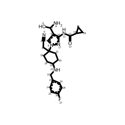 N#CCC1(n2cc(C(N)O)c(NC(=O)C3CC3)n2)CCC(NCc2ccc(F)cc2)CC1